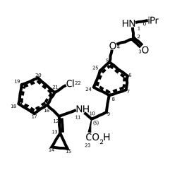 CC(C)NC(=O)Oc1ccc(C[C@H](NC(=C2CC2)c2ccccc2Cl)C(=O)O)cc1